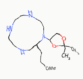 COCCC1CNCCNCCNCCN1C1COC(C)(C)O1